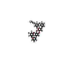 Fc1c(F)c(F)c(P(c2c(F)c(F)c(F)c(F)c2F)c2c(F)c(F)c(F)c(F)c2F)c(F)c1F.Fc1c(F)c(F)c(P(c2c(F)c(F)c(F)c(F)c2F)c2c(F)c(F)c(F)c(F)c2F)c(F)c1F.[Cl][Pt][Cl]